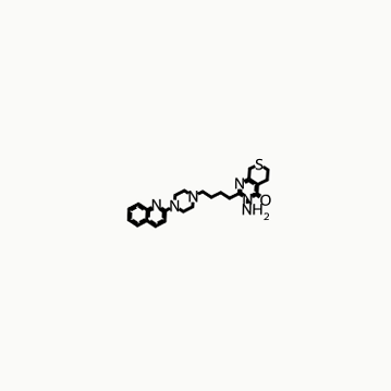 Nn1c(CCCCN2CCN(c3ccc4ccccc4n3)CC2)nc2c(c1=O)CCSC2